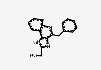 OCc1nc2c(Cc3ccccc3)nc3ccccc3c2[nH]1